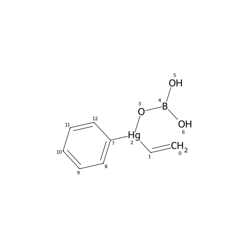 C=[CH][Hg]([O]B(O)O)[c]1ccccc1